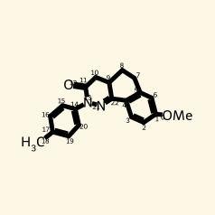 COc1ccc2c(c1)CCC1CC(=O)N(c3ccc(C)cc3)N=C21